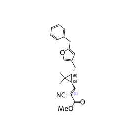 COC(=O)/C(C#N)=C/[C@@H]1[C@@H](Cc2coc(Cc3ccccc3)c2)C1(C)C